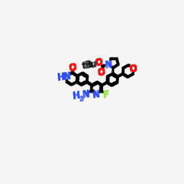 CC(C)(C)OC(=O)N1CCC[C@H]1c1cc(-c2cc(-c3ccc4c(c3)CCNC4=O)c(N)nc2F)ccc1C1CCOCC1